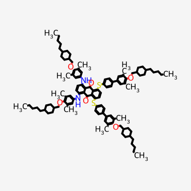 CCCCCC1CCC(COc2c(C)cc(Nc3ccc(Nc4cc(C)c(OCC5CCC(CCCCC)CC5)c(C)c4)c4c3C(=O)c3c(Sc5ccc(-c6cc(C)c(OCC7CCC(CCCCC)CC7)c(C)c6)cc5)ccc(Sc5ccc(-c6cc(C)c(OCC7CCC(CCCCC)CC7)c(C)c6)cc5)c3C4=O)cc2C)CC1